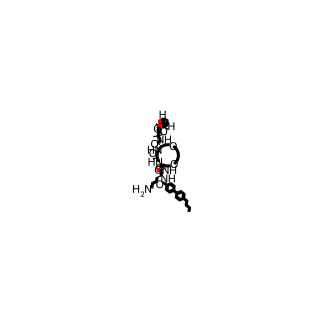 CCCCc1ccc(-c2ccc(C(=O)N[C@@H](CCCCN)C(=O)N[C@H]3COCCCCOCC[C@@H](C(=O)N[C@@H](C)B4O[C@]5(C)C[C@@H]6C[C@@H](C6(C)C)[C@]5(C)O4)NC(=O)[C@H](C)NC3=O)cc2)cc1